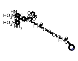 N=c1ccc2c(-c3ccc(C(=O)NC(CCCCNC(=O)CCOCCOCCOCCOCCNC(=O)OCC4C5CC/C=C\CCC54)C(=O)ON4C(=O)CCC4=O)cc3C(=O)O)c3ccc(N)c(S(=O)(=O)O)c3oc-2c1S(=O)(=O)O